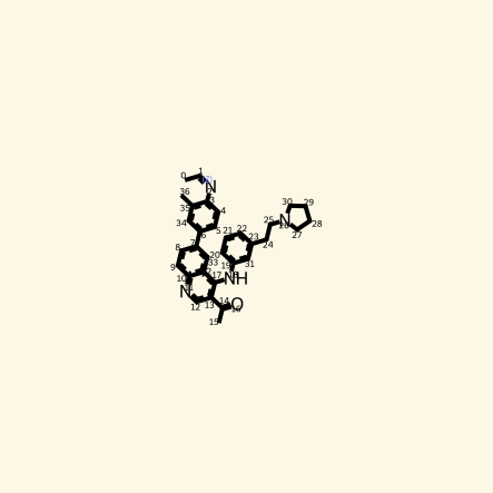 C/C=N\c1ccc(-c2ccc3ncc(C(C)=O)c(Nc4cccc(CCN5CCCC5)c4)c3c2)cc1C